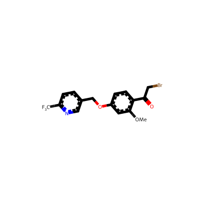 COc1cc(OCc2ccc(C(F)(F)F)nc2)ccc1C(=O)CBr